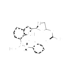 CC(=O)OC1CN=C(c2cc3cccc(N(C)S(=O)(=O)c4ccccn4)c3[nH]2)S1